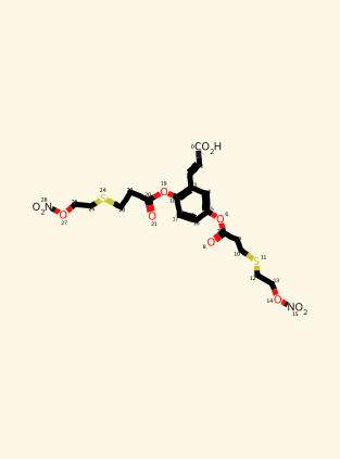 O=C(O)C=Cc1cc(OC(=O)CCSCCO[N+](=O)[O-])ccc1OC(=O)CCSCCO[N+](=O)[O-]